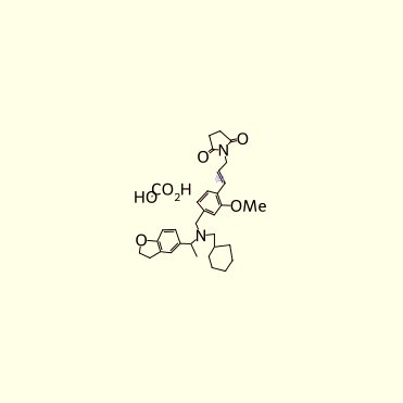 COc1cc(CN(CC2CCCCC2)C(C)c2ccc3c(c2)CCO3)ccc1/C=C/CN1C(=O)CCC1=O.O=C(O)O